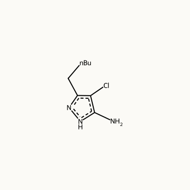 CCCCCc1n[nH]c(N)c1Cl